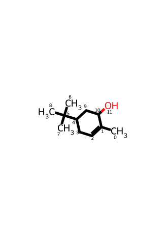 CC1=CCC(C(C)(C)C)CC1O